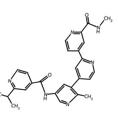 CNC(=O)c1cc(-c2cc(-c3cc(NC(=O)c4ccnc(C(C)C)c4)cnc3C)ccn2)ccn1